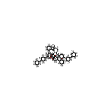 C1=CC2C(c3ccccc3N2c2ccc(-c3cccc(-c4ccccc4)c3)cc2)c2c1oc1cccc(-c3nc(-c4ccc(-c5ccccc5)cc4)nc(-c4ccc(-c5ccccc5)cc4)n3)c21